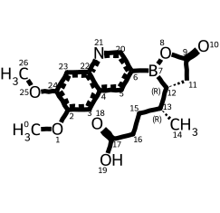 COc1cc2cc(B3OC(=O)C[C@@H]3[C@H](C)CCC(=O)O)cnc2cc1OC